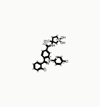 CC1(NC(=O)c2ccc3c(-c4ccccc4Cl)nn(-c4ccc(Cl)cn4)c3c2)CCS(O)(O)C1